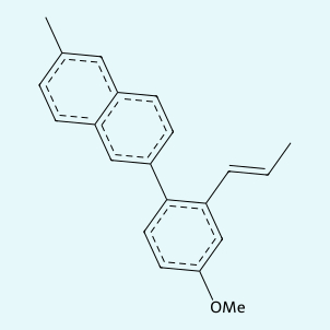 CC=Cc1cc(OC)ccc1-c1ccc2cc(C)ccc2c1